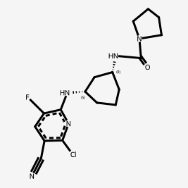 N#Cc1cc(F)c(N[C@H]2CCC[C@@H](NC(=O)N3CCCC3)C2)nc1Cl